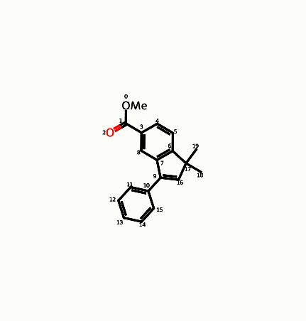 COC(=O)c1ccc2c(c1)C(c1ccccc1)=CC2(C)C